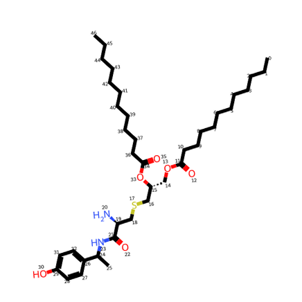 CCCCCCCCCCCC(=O)OC[C@H](CSC[C@H](N)C(=O)NC(C)c1ccc(O)cc1)OC(=O)CCCCCCCCCCC